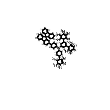 [2H]c1c([2H])c([2H])c(-c2ccc(N(c3ccc(-c4ccc5c(c4)C4(c6ccccc6-c6ccccc64)c4ccccc4-5)cc3)c3cc(-c4c([2H])c([2H])c([2H])c([2H])c4[2H])cc(-c4c([2H])c([2H])c([2H])c([2H])c4[2H])c3)cc2)c([2H])c1[2H]